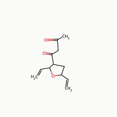 C=CC1CC(C(=O)CC(C)=O)C(C=C)O1